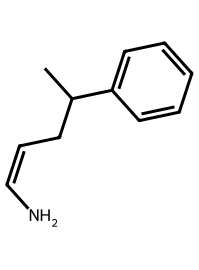 CC(C/C=C\N)c1ccccc1